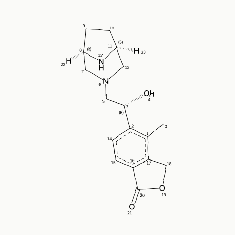 Cc1c([C@@H](O)CN2C[C@H]3CC[C@@H](C2)N3)ccc2c1COC2=O